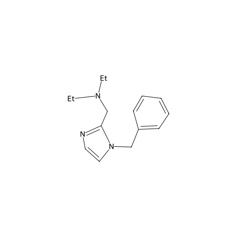 CCN(CC)Cc1nccn1Cc1ccccc1